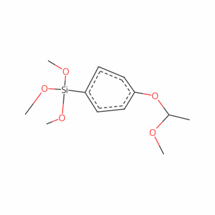 COC(C)Oc1ccc([Si](OC)(OC)OC)cc1